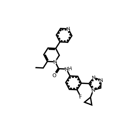 CCC1=CC=C(c2ccncc2)CN1C(=O)Nc1ccc(F)c(-c2nncn2C2CC2)c1